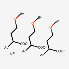 CC(=O)C(CCOC(C)C)C(=O)[O-].CC(=O)C(CCOC(C)C)C(=O)[O-].CC(=O)C(CCOC(C)C)C(=O)[O-].[Al+3]